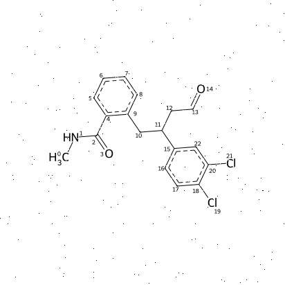 CNC(=O)c1ccccc1CC(CC=O)c1ccc(Cl)c(Cl)c1